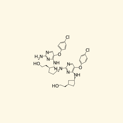 Nc1ncc(Oc2ccc(Cl)cc2)c(N[C@@H]2CCC[C@H]2CCO)n1.Nc1ncc(Oc2ccc(Cl)cc2)c(N[C@H]2CC[C@@H](CCO)C2)n1